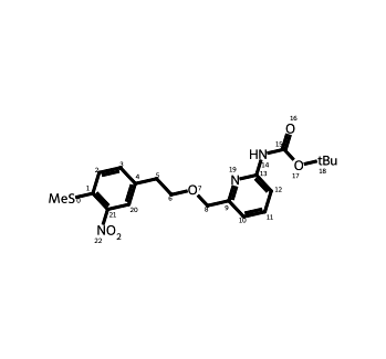 CSc1ccc(CCOCc2cccc(NC(=O)OC(C)(C)C)n2)cc1[N+](=O)[O-]